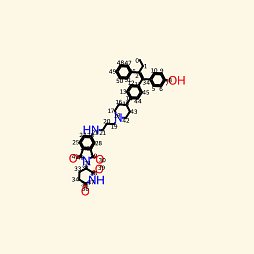 CCC(=C(c1ccc(O)cc1)c1ccc(C2CCN(CCCNc3ccc4c(c3)C(=O)N(C3CCC(=O)NC3=O)C4=O)CC2)cc1)c1ccccc1